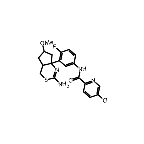 COC1CC2CSC(N)=NC2(c2cc(NC(=O)c3ccc(Cl)cn3)ccc2F)C1